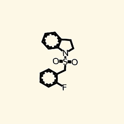 O=S(=O)(Cc1ccccc1F)N1CCc2ccccc21